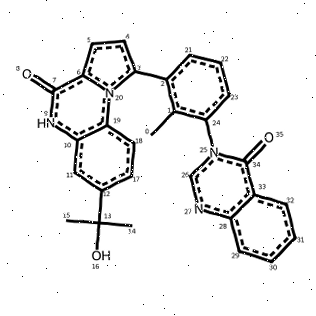 Cc1c(-c2ccc3c(=O)[nH]c4cc(C(C)(C)O)ccc4n23)cccc1-n1cnc2ccccc2c1=O